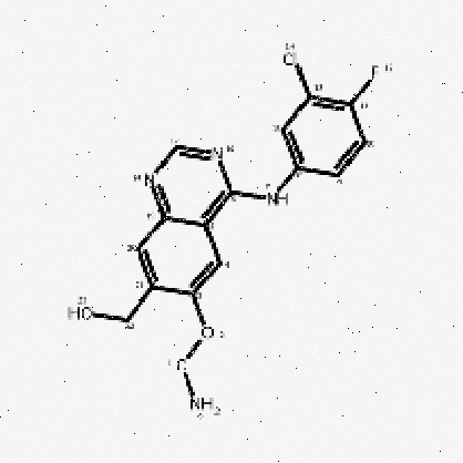 NOOc1cc2c(Nc3ccc(F)c(Cl)c3)ncnc2cc1CO